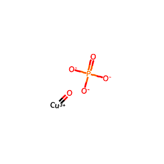 O=P([O-])([O-])[O-].[O]=[Cu+3]